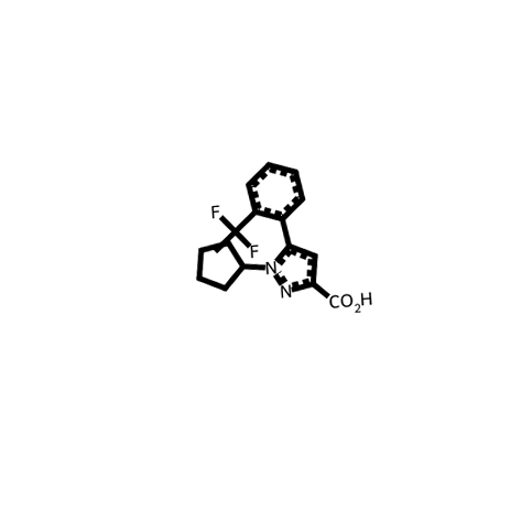 CC(F)(F)c1ccccc1-c1cc(C(=O)O)nn1C1CCCC1